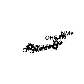 CNC(=O)CCC(C=O)N1Cc2c(CCCCCCN3CCN(c4cccc(Cl)c4Cl)CC3)cccc2C1=O